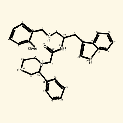 COc1ccccc1CNCC(Cc1c[nH]c2ccccc12)NC(=O)CN1CCNCC1c1ccccc1